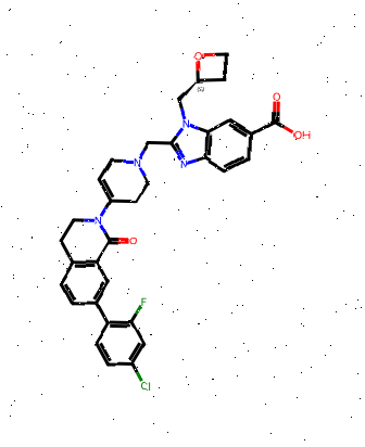 O=C(O)c1ccc2nc(CN3CC=C(N4CCc5ccc(-c6ccc(Cl)cc6F)cc5C4=O)CC3)n(C[C@@H]3CCO3)c2c1